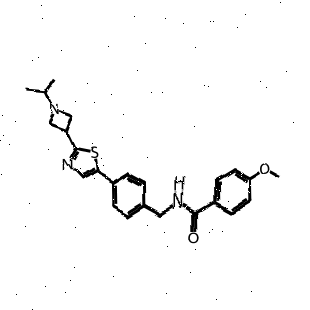 COc1ccc(C(=O)NCc2ccc(-c3cnc(C4CN(C(C)C)C4)s3)cc2)cc1